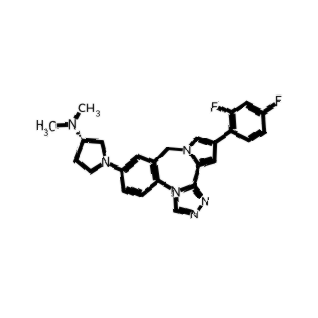 CN(C)[C@H]1CCN(c2ccc3c(c2)Cn2cc(-c4ccc(F)cc4F)cc2-c2nncn2-3)C1